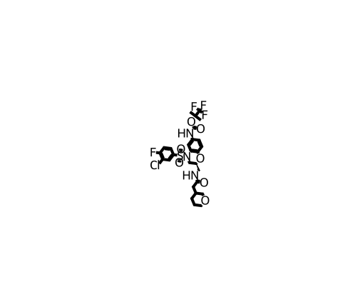 CC(C)(OC(=O)Nc1ccc2c(c1)N(S(=O)(=O)c1ccc(F)c(Cl)c1)C[C@H](CNC(=O)CC1CCCOC1)O2)C(F)(F)F